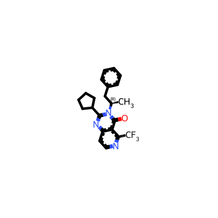 C[C@H](Cc1ccccc1)n1c(C2CCCC2)nc2ccnc(C(F)(F)F)c2c1=O